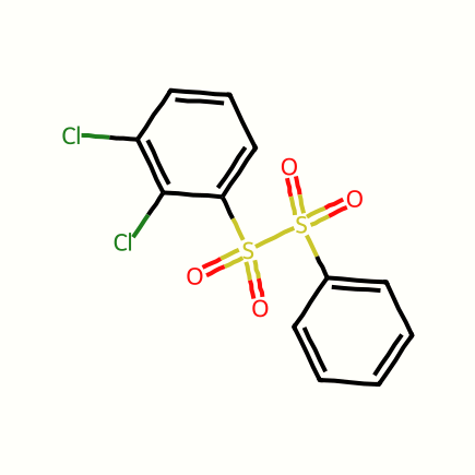 O=S(=O)(c1ccccc1)S(=O)(=O)c1cccc(Cl)c1Cl